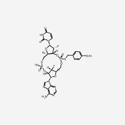 CC(=O)Oc1ccc(CSP2(=O)OC[C@H]3O[C@@H](n4cnc5c(N)ncnc54)[C@H](OP(=O)(O)OC[C@H]4O[C@@H](n5ccc(=O)[nH]c5=O)[C@H](F)[C@@H]4O2)[C@@H]3F)cc1